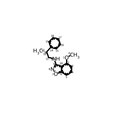 COc1cccc2onc(NC[C@H](C)c3ccccc3)c12